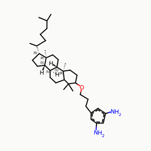 CC(C)CCCC(C)[C@H]1CC[C@H]2[C@@H]3CCC4C(C)(C)C(OCCCc5cc(N)cc(N)c5)CC[C@]4(C)[C@H]3CC[C@]12C